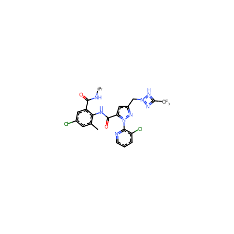 Cc1cc(Cl)cc(C(=O)NC(C)C)c1NC(=O)c1cc(Cn2nc(C(F)(F)F)[nH]2)nn1-c1ncccc1Cl